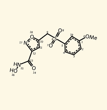 COc1cccc(S(=O)(=O)Cc2cc(C(=O)NO)no2)c1